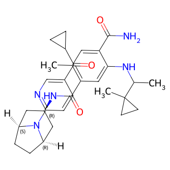 Cc1cc(C(N)=O)c(NC(C)C2(C)CC2)cc1C(=O)N[C@H]1C[C@H]2CC[C@@H](C1)N2c1ccc(C(=O)C2CC2)cn1